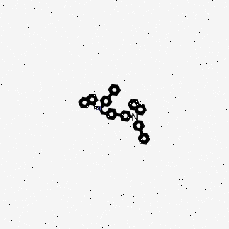 C(=C(\Cc1ccc(-c2ccc(N(c3ccc(-c4ccccc4)cc3)c3cccc4ccccc34)cc2)cc1)c1ccc(-c2ccccc2)cc1)/c1cccc2ccccc12